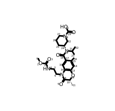 COC(=O)NCCN1C(=O)[C@@H](C)Oc2cc(C)c(C(=O)N(C(C)C)[C@@H]3CCCN(C(=O)O)C3)cc21